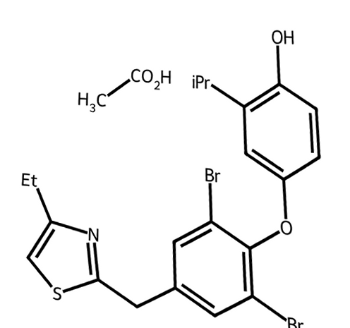 CC(=O)O.CCc1csc(Cc2cc(Br)c(Oc3ccc(O)c(C(C)C)c3)c(Br)c2)n1